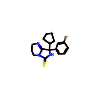 S=C1NC(c2cccc(Br)c2)(C2CCCC2)C2=NCCCN12